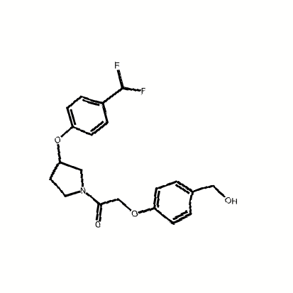 O=C(COc1ccc(CO)cc1)N1CCC(Oc2ccc(C(F)F)cc2)C1